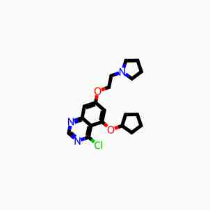 Clc1ncnc2cc(OCCN3CCCC3)cc(OC3CCCC3)c12